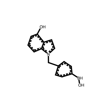 OBc1ccc(Cn2ccc3c(O)cccc32)cc1